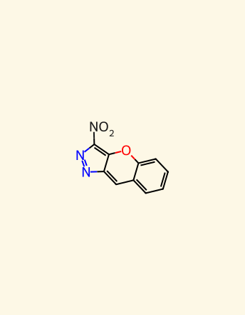 O=[N+]([O-])c1nnc2cc3ccccc3oc1-2